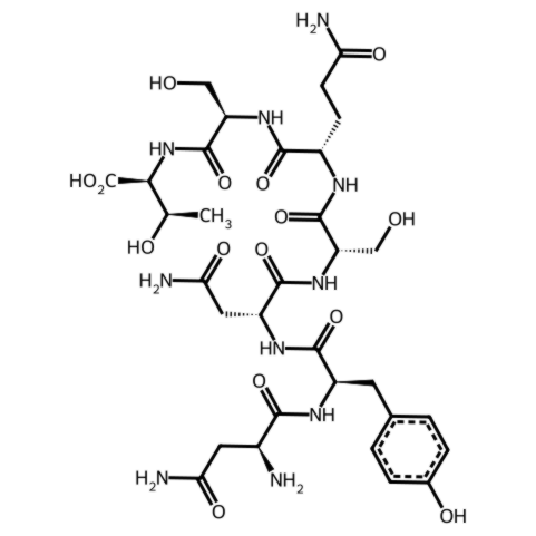 C[C@@H](O)[C@H](NC(=O)[C@@H](CO)NC(=O)[C@H](CCC(N)=O)NC(=O)[C@H](CO)NC(=O)[C@@H](CC(N)=O)NC(=O)[C@@H](Cc1ccc(O)cc1)NC(=O)[C@@H](N)CC(N)=O)C(=O)O